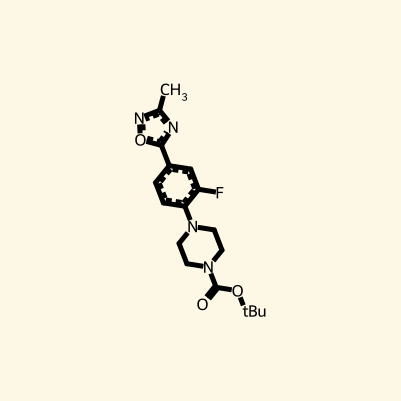 Cc1noc(-c2ccc(N3CCN(C(=O)OC(C)(C)C)CC3)c(F)c2)n1